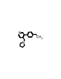 CCc1ccc(-c2cnccc2CN2CCCC2)cc1